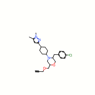 C#CCOCC1CN(C2CCC(c3cc(C)n(C)n3)CC2)C(Cc2ccc(Cl)cc2)CO1